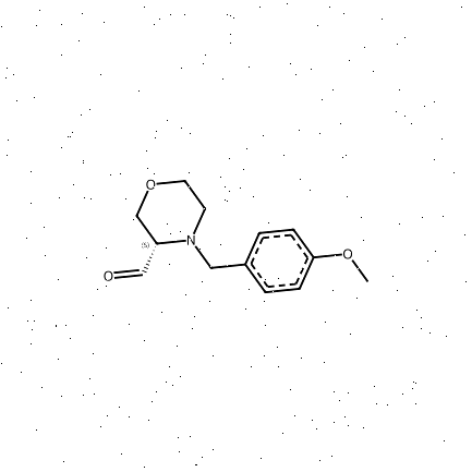 COc1ccc(CN2CCOC[C@H]2C=O)cc1